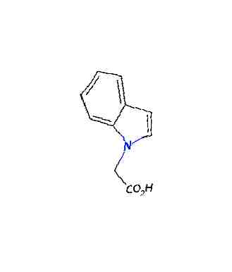 O=C(O)Cn1ccc2ccccc21